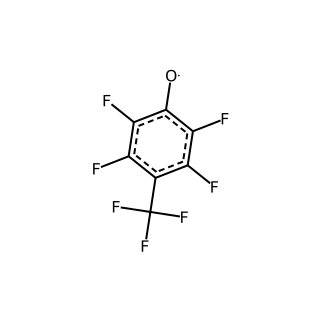 [O]c1c(F)c(F)c(C(F)(F)F)c(F)c1F